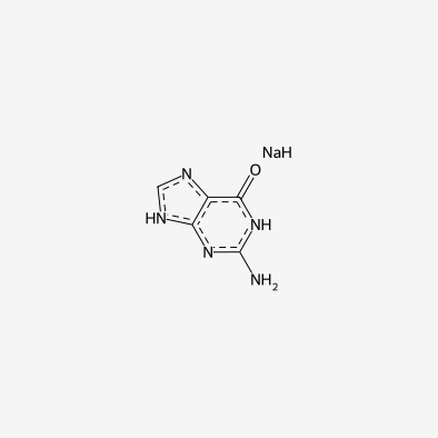 Nc1nc2[nH]cnc2c(=O)[nH]1.[NaH]